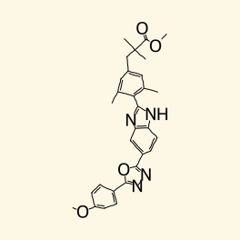 COC(=O)C(C)(C)Cc1cc(C)c(-c2nc3cc(-c4nnc(-c5ccc(OC)cc5)o4)ccc3[nH]2)c(C)c1